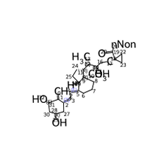 C=C1/C(=C\C=C2/CCC[C@]3(C)[C@@H]([C@H](C)[C@H](O)CCC4(C(=O)CCCCCCCCC)CC4)CC[C@@H]23)C[C@@H](O)C[C@@H]1O